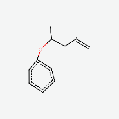 C=[C]CC(C)Oc1ccccc1